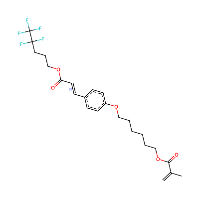 C=C(C)C(=O)OCCCCCCOc1ccc(/C=C/C(=O)OCCCC(F)(F)C(F)(F)F)cc1